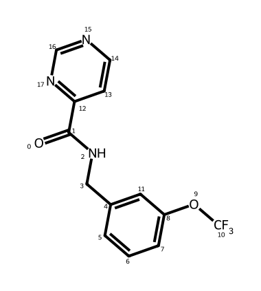 O=C(NCc1cccc(OC(F)(F)F)c1)c1ccncn1